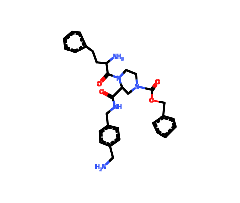 NCc1ccc(CNC(=O)C2CN(C(=O)OCc3ccccc3)CCN2C(=O)C(N)CCc2ccccc2)cc1